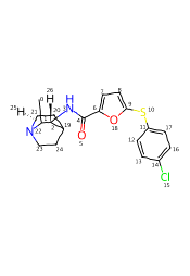 C[C@H]1[C@H](NC(=O)c2ccc(Sc3ccc(Cl)cc3)o2)C2CCN1CC2